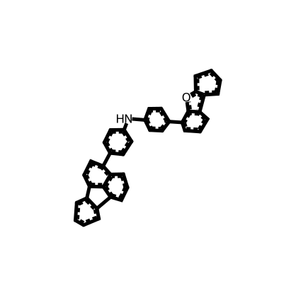 c1ccc2c(c1)-c1cccc3c(-c4ccc(Nc5ccc(-c6cccc7c6oc6ccccc67)cc5)cc4)ccc-2c13